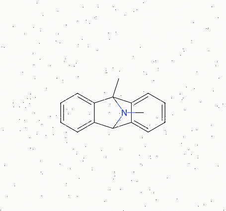 CN1C2c3ccccc3C1(C)c1ccccc12